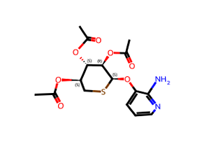 CC(=O)O[C@@H]1[C@@H](OC(C)=O)[C@@H](Oc2cccnc2N)SC[C@H]1OC(C)=O